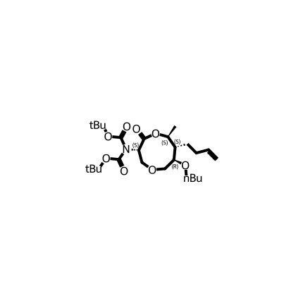 C=CCC[C@H]1[C@H](C)OC(=O)[C@@H](N(C(=O)OC(C)(C)C)C(=O)OC(C)(C)C)COC[C@@H]1OCCCC